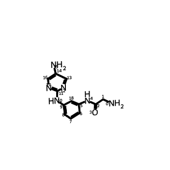 NCC(=O)Nc1cccc(Nc2ncc(N)cn2)c1